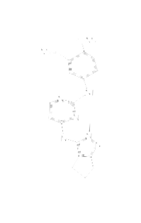 COc1ccc(Nc2nccc(Nc3c4c(nn3C)CCC4)n2)cc1OC